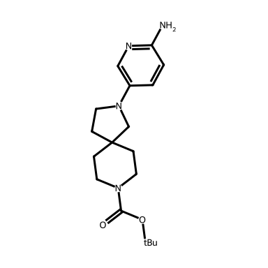 CC(C)(C)OC(=O)N1CCC2(CC1)CCN(c1ccc(N)nc1)C2